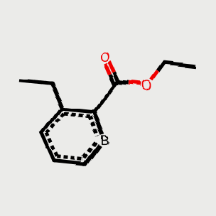 CCOC(=O)c1bcccc1CC